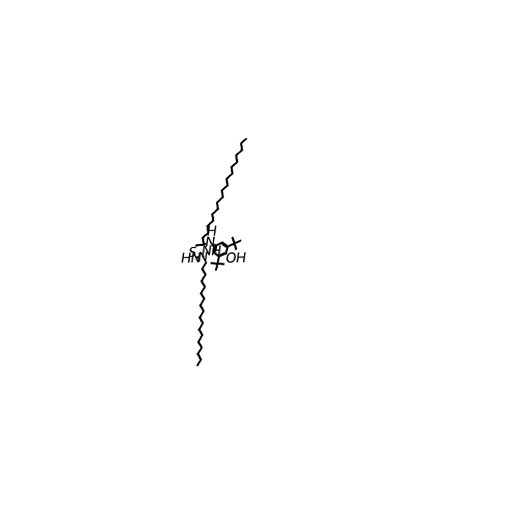 CCCCCCCCCCCCCCCCCCN1NSCC(CCCCCCCCCCCCCCCCCC)(Nc2cc(C(C)(C)C)c(O)c(C(C)(C)C)c2)N1